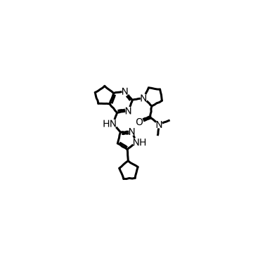 CN(C)C(=O)C1CCCN1c1nc2c(c(Nc3cc(C4CCCC4)[nH]n3)n1)CCC2